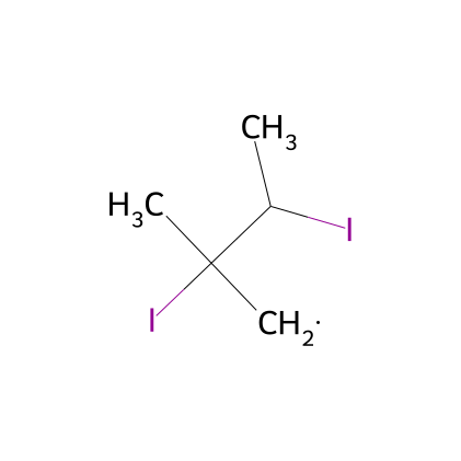 [CH2]C(C)(I)C(C)I